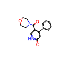 O=C(c1c[nH]c(=O)cc1-c1ccccc1)N1CCOCC1